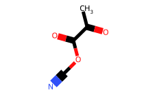 CC(=O)C(=O)OC#N